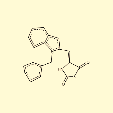 O=C1NC(=Cc2cc3ccccc3n2Cc2ccccc2)C(=O)S1